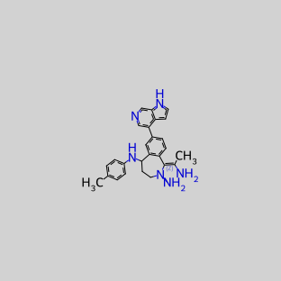 C/C(N)=C1\c2ccc(-c3cncc4[nH]ccc34)cc2C(Nc2ccc(C)cc2)CCN1N